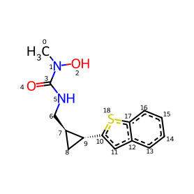 CN(O)C(=O)NC[C@@H]1C[C@H]1c1cc2ccccc2s1